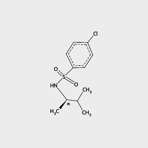 CC(C)[C@@H](C)NS(=O)(=O)c1ccc(Cl)cc1